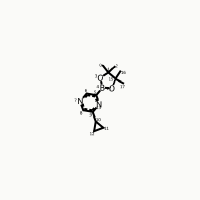 CC1(C)OB(c2cncc(C3CC3)n2)OC1(C)C